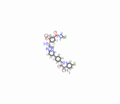 COc1cc(C(=O)N2CC(F)C2)ccc1Nc1nc2ccc(-c3ccc(NC(=O)[C@H](C)c4ccc(F)cc4)cc3)cn2n1